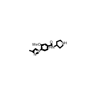 COc1cc(C(=O)NC2CCNCC2)ccc1-n1cnc(C)c1